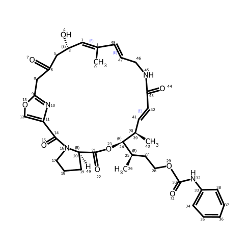 CC1=C\[C@@H](O)CC(=O)Cc2nc(co2)C(=O)N2CCC[C@@H]2C(=O)O[C@H]([C@H](C)CCOC(=O)Nc2ccccc2)[C@H](C)/C=C/C(=O)NC\C=C\1